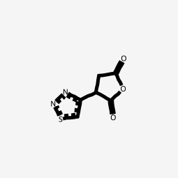 O=C1CC(c2csnn2)C(=O)O1